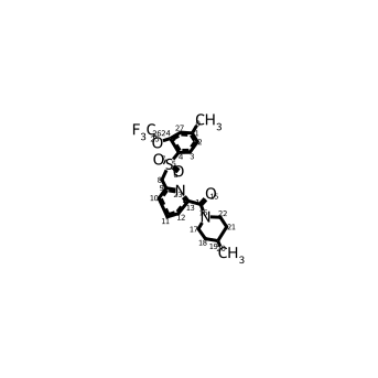 Cc1ccc(S(=O)(=O)Cc2cccc(C(=O)N3CCC(C)CC3)n2)c(OC(F)(F)F)c1